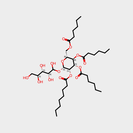 CCCCCCCC(=O)O[C@@H]1[C@H](OC(O)[C@H](O)[C@@H](O)[C@@H](O)CO)O[C@H](COC(=O)CCCCC)[C@@H](OC(=O)CCCCC)[C@@H]1OC(=O)CCCCC